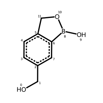 OCc1ccc2c(c1)B(O)OC2